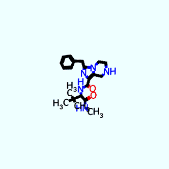 CNC(=O)C(NC(=O)c1nc(Cc2ccccc2)n2c1CNCC2)C(C)(C)C